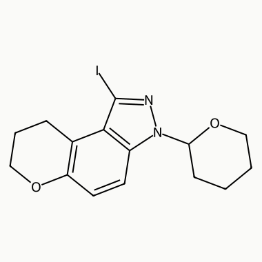 Ic1nn(C2CCCCO2)c2ccc3c(c12)CCCO3